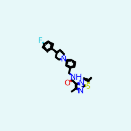 Cc1cn2c(C(=O)NCc3cccc(N4CCC(c5ccc(F)cc5)CC4)c3)c(C)nc2s1